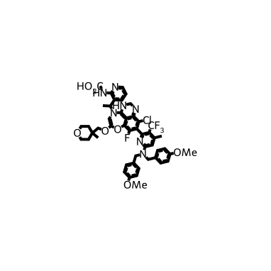 COc1ccc(CN(Cc2ccc(OC)cc2)c2cc(C)c(C(F)(F)F)c(-c3c(F)c4c5c(c3Cl)=NCNC=5N(C(C)c3cccnc3NC(=O)O)C=C(OCC3(C)CCOCC3)O4)n2)cc1